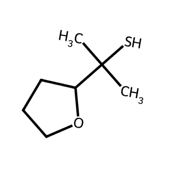 CC(C)(S)C1CCCO1